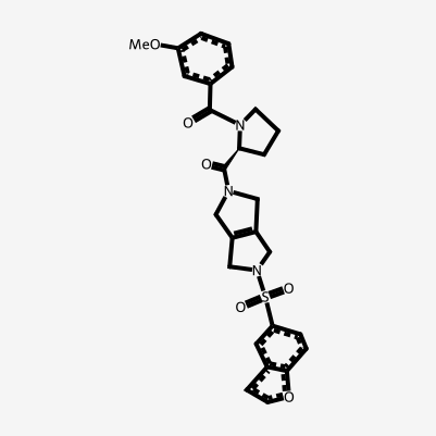 COc1cccc(C(=O)N2CCC[C@H]2C(=O)N2CC3=C(C2)CN(S(=O)(=O)c2ccc4occc4c2)C3)c1